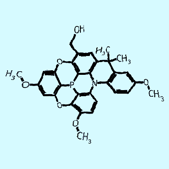 COc1cc2c3c(c1)Oc1c(CO)cc4c5c1P3c1c(ccc(OC)c1O2)N5c1ccc(OC)cc1C4(C)C